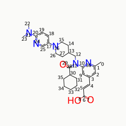 Cc1cc(C=CC(=O)O)cc(N(CC2CCN(c3ccc(N(C)C)nc3)CC2)C(=O)C2CCCCC2)n1